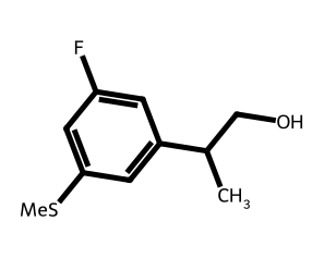 CSc1cc(F)cc([C](C)CO)c1